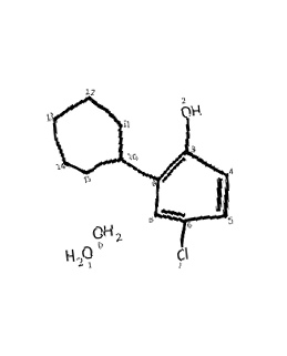 O.O.Oc1ccc(Cl)cc1C1CCCCC1